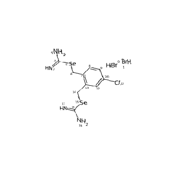 Br.Br.N=C(N)[Se]Cc1ccc(Cl)cc1C[Se]C(=N)N